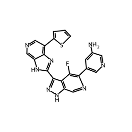 Nc1cncc(-c2ncc3[nH]nc(-c4nc5c(-c6cccs6)cncc5[nH]4)c3c2F)c1